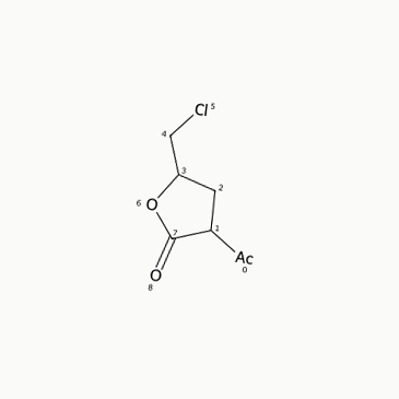 CC(=O)C1CC(CCl)OC1=O